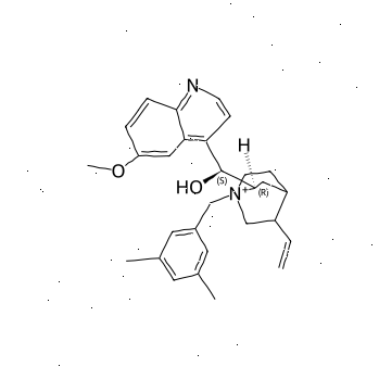 C=CC1C[N+]2(Cc3cc(C)cc(C)c3)CCC1C[C@@H]2[C@@H](O)c1ccnc2ccc(OC)cc12